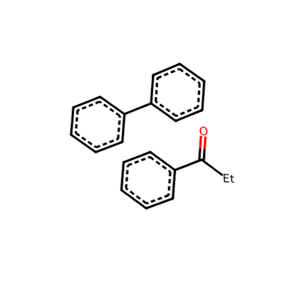 CCC(=O)c1ccccc1.c1ccc(-c2ccccc2)cc1